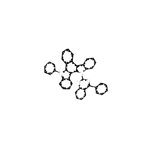 c1ccc(-c2nc(-n3c4ccccc4c4c5ccccc5c5c(c6ccccc6n5-c5ccccc5)c43)nc3ccccc23)cc1